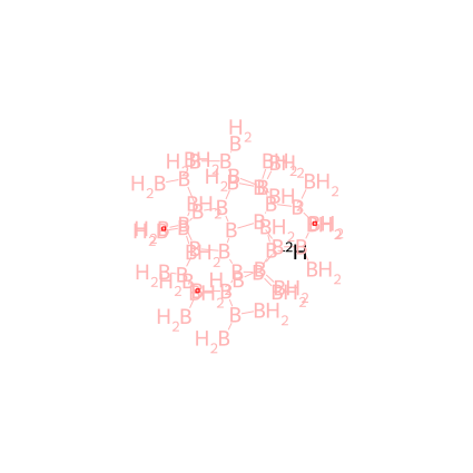 [2H]B(B)B(B)B(B(B(B)B)B(B)B)B(B(B(B)B)B(B)B)B(B(B(B(B)B)B(B)B)B(B(B)B)B(B)B)B(B(B(B)B)B(B)B)B(B(B)B)B(B)B